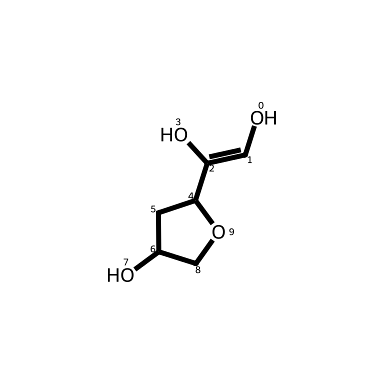 OC=C(O)C1CC(O)CO1